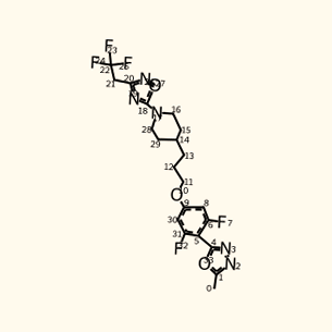 Cc1nnc(-c2c(F)cc(OCCCC3CCN(c4nc(CC(F)(F)F)no4)CC3)cc2F)o1